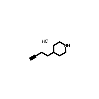 C#CCCC1CCNCC1.Cl